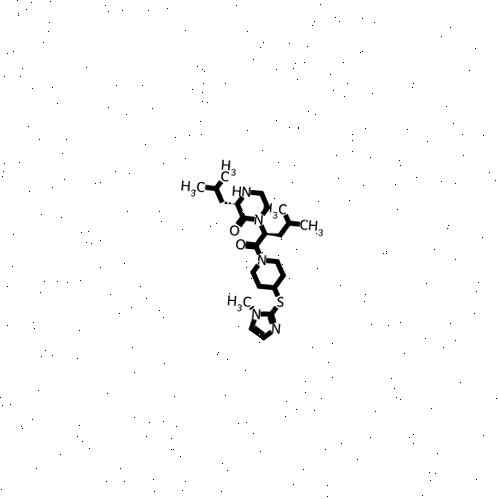 CC(C)C[C@@H]1NCCN([C@@H](CC(C)C)C(=O)N2CCC(Sc3nccn3C)CC2)C1=O